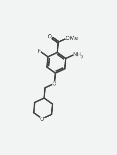 COC(=O)c1c(N)cc(OCC2CCOCC2)cc1F